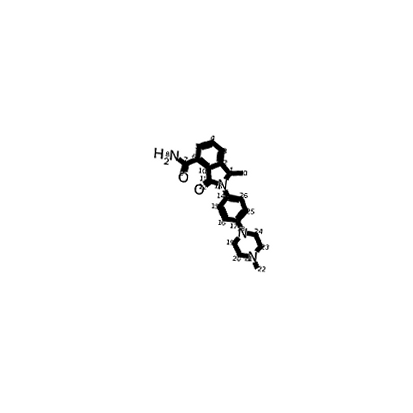 CC1c2cccc(C(N)=O)c2C(=O)N1c1ccc(N2CCN(C)CC2)cc1